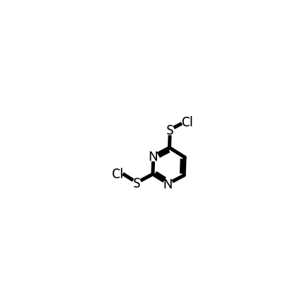 ClSc1ccnc(SCl)n1